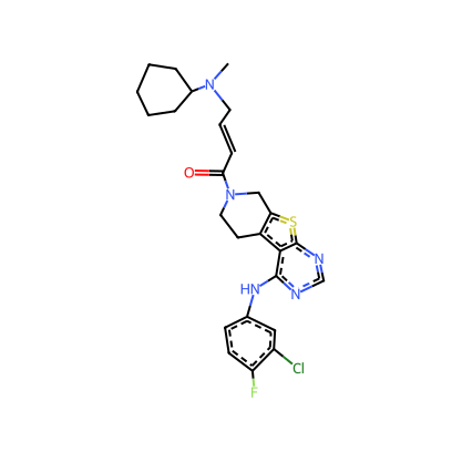 CN(CC=CC(=O)N1CCc2c(sc3ncnc(Nc4ccc(F)c(Cl)c4)c23)C1)C1CCCCC1